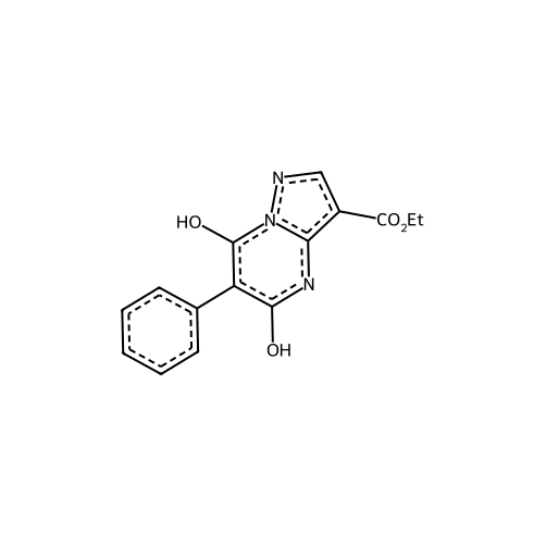 CCOC(=O)c1cnn2c(O)c(-c3ccccc3)c(O)nc12